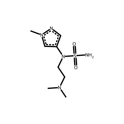 CN(C)CCN(c1cnn(C)c1)S(N)(=O)=O